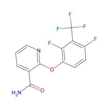 NC(=O)c1cccnc1Oc1ccc(F)c(C(F)(F)F)c1F